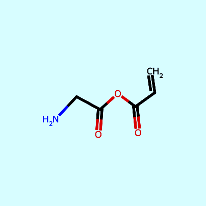 C=CC(=O)OC(=O)CN